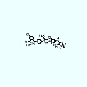 CCC1CN(c2ncc(NC3=NS(=O)(=O)N=C3NC)cc2Cl)CCN1C1CCN(Cc2ccc(Cl)cc2C(=N)NO)CC1